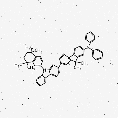 CC1(C)CCC(C)(C)c2cc(-n3c4ccccc4c4ccc(-c5ccc6c(c5)C(C)(C)c5cc(N(c7ccccc7)c7ccccc7)ccc5-6)cc43)ccc21